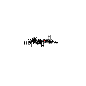 CCCCCCOC(=O)NN=Cc1ccc(NCc2nc3cc(C(=O)c4cccnc4NCCC(=O)O)ccc3n2C)cc1